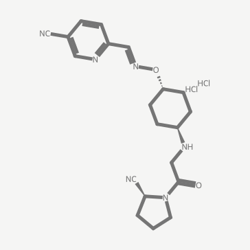 Cl.Cl.N#Cc1ccc(C=NO[C@H]2CC[C@H](NCC(=O)N3CCC[C@H]3C#N)CC2)nc1